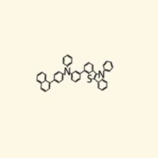 c1ccc(N(c2ccc(-c3cccc4ccccc34)cc2)c2cccc(-c3cccc4c3sc3c5ccccc5n(-c5ccccc5)c43)c2)cc1